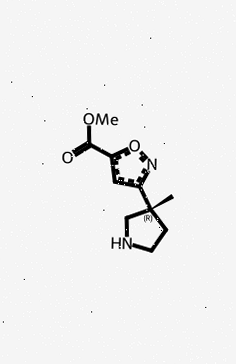 COC(=O)c1cc([C@]2(C)CCNC2)no1